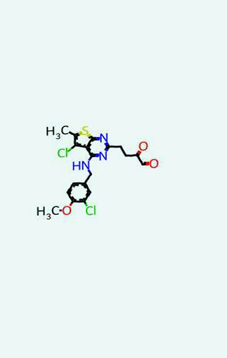 COc1ccc(CNc2nc(CCC(=O)C=O)nc3sc(C)c(Cl)c23)cc1Cl